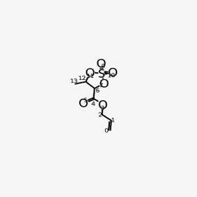 C=CCOC(=O)C1OS(=O)(=O)OC1C